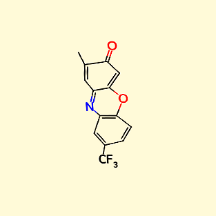 Cc1cc2nc3cc(C(F)(F)F)ccc3oc-2cc1=O